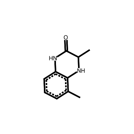 Cc1cccc2c1NC(C)C(=O)N2